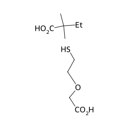 CCC(C)(C)C(=O)O.O=C(O)COCCS